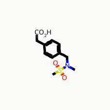 CN(Cc1ccc(CC(=O)O)cc1)S(C)(=O)=O